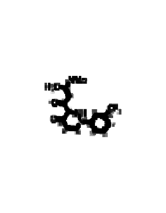 CN/C(C)=C/C(=O)C1NN(c2cccc(C(F)(F)F)c2)C=CC1=O